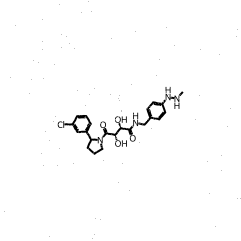 CNNc1ccc(CNC(=O)[C@H](O)[C@@H](O)C(=O)N2CCCC2c2cccc(Cl)c2)cc1